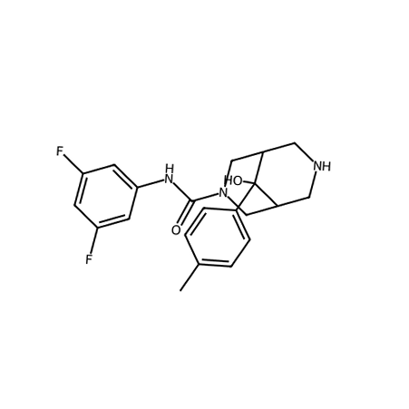 Cc1ccc(C2(O)C3CNCC2CN(C(=O)Nc2cc(F)cc(F)c2)C3)cc1